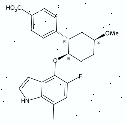 CO[C@H]1CC[C@@H](Oc2c(F)cc(C)c3[nH]ccc23)[C@H](c2ccc(C(=O)O)cc2)C1